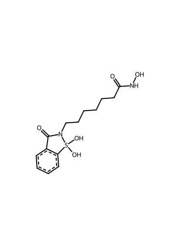 O=C(CCCCCCN1C(=O)c2ccccc2S1(O)O)NO